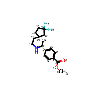 COC(=O)c1ccc([C@H]2C[C@]3(CCN2)CCC(F)(F)C3)cc1